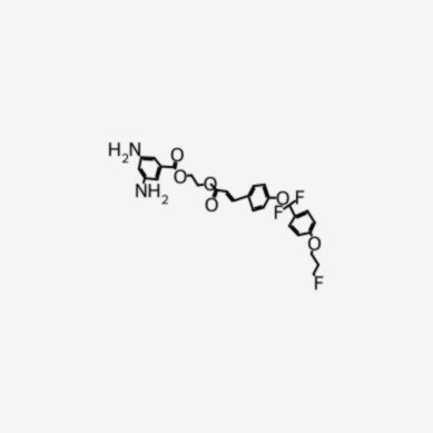 Nc1cc(N)cc(C(=O)OCCOC(=O)/C=C/c2ccc(OC(F)(F)c3ccc(OCCCF)cc3)cc2)c1